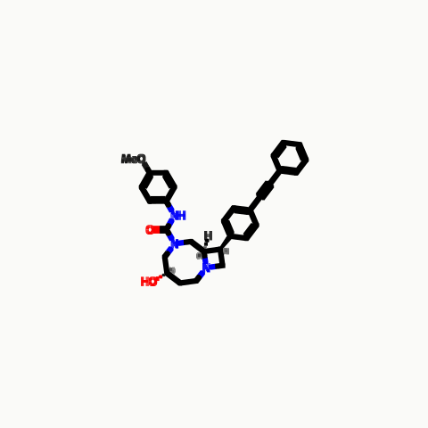 COc1ccc(NC(=O)N2C[C@@H](O)CCN3C[C@H](c4ccc(C#Cc5ccccc5)cc4)[C@@H]3C2)cc1